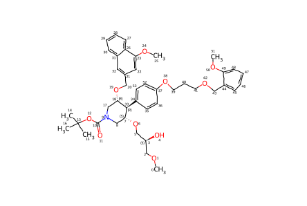 COC[C@H](O)CO[C@@H]1CN(C(=O)OC(C)(C)C)C[C@H](OCc2cc(OC)c3ccccc3c2)[C@H]1c1ccc(OCCCOCc2ccccc2OC)cc1